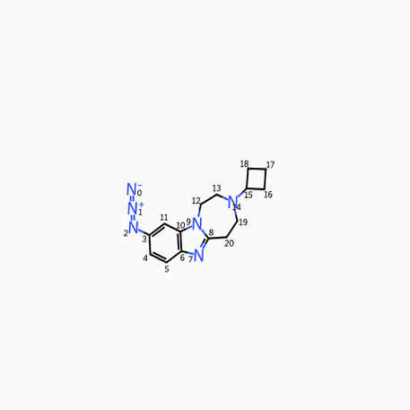 [N-]=[N+]=Nc1ccc2nc3n(c2c1)CCN(C1CCC1)CC3